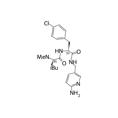 CCC(C)[C@@H](NC)C(=O)N[C@@H](Cc1ccc(Cl)cc1)C(=O)NCc1ccc(N)nc1